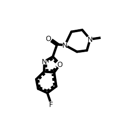 CN1CCN(C(=O)c2nc3ccc(F)cc3o2)CC1